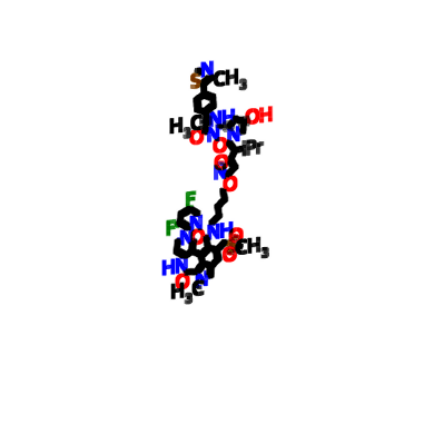 Cc1ncsc1-c1ccc([C@@]2(C)NC([C@@H]3C[C@@H](O)CN3C(=O)C(c3cc(OCCCCCNC(=O)c4c(CS(C)(=O)=O)cc5cn(C)c6c5c4C4=CN(c5ncc(F)cc5F)CC=C4NC6=O)no3)C(C)C)=NC2=O)cc1